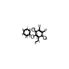 CCC1=C(Oc2ccccc2)C(=O)C(C)=C(C)C1=O